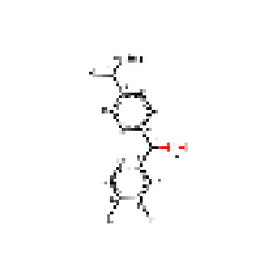 CCCCC(C)c1ccc(C(O)c2ccc(C)c(C)c2)cc1